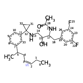 CC/C=C\CC(C)c1cccc(C2(NCC(O)C(Cc3cc(F)cc(F)c3)NC(C)=O)CC2)c1